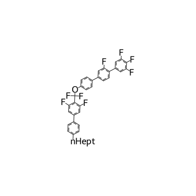 CCCCCCCc1ccc(-c2cc(F)c(C(F)(F)Oc3ccc(-c4ccc(-c5cc(F)c(F)c(F)c5)c(F)c4)cc3)c(F)c2)cc1